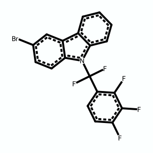 Fc1ccc(C(F)(F)n2c3ccccc3c3cc(Br)ccc32)c(F)c1F